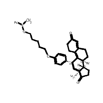 CC(=O)N(C)OCCCCCOc1ccc([C@H]2C[C@]3(C)C(=O)CC[C@H]3[C@@H]3CCC4=CC(=O)CCC4=C32)cc1